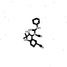 CC1(C)Nc2ccc(C#N)cc2C(N(C#N)C(=N)Nc2ccccc2)C1O